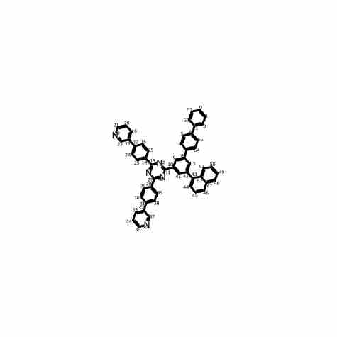 c1ccc(-c2ccc(-c3cc(-c4nc(-c5ccc(-c6cccnc6)cc5)nc(-c5ccc(-c6cccnc6)cc5)n4)cc(-c4cccc5ccccc45)c3)cc2)cc1